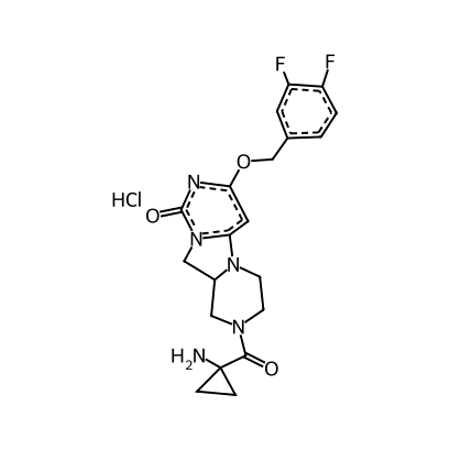 Cl.NC1(C(=O)N2CCN3c4cc(OCc5ccc(F)c(F)c5)nc(=O)n4CC3C2)CC1